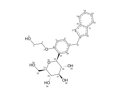 OCCOc1ccc(Cc2cc3ccccc3s2)cc1[C@@H]1O[C@H](CO)[C@@H](O)[C@H](O)[C@H]1O